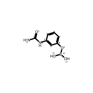 NC(=O)Nc1cccc(OB(O)O)c1